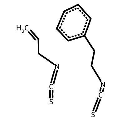 C=CCN=C=S.S=C=NCCc1ccccc1